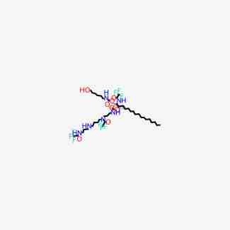 CCCCCCCCCCCCC/C=C/[C@@H](OC(=O)NCCCN(CCCCNCCCNC(=O)C(F)(F)F)C(=O)C(F)(F)F)[C@H](COC(=O)NCCCCCCO)NC(=O)C(F)(F)F